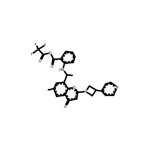 Cc1cc(C(C)Nc2ccccc2C(=O)OC(=O)C(F)(F)F)c2oc(N3CC(c4ccncc4)C3)cc(=O)c2c1